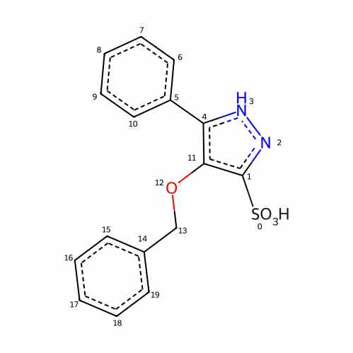 O=S(=O)(O)c1n[nH]c(-c2ccccc2)c1OCc1ccccc1